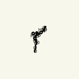 COCCOCCCOC(=O)c1cc2cc(NC(=O)[C@H]3[C@H](C4CCCCC4)CCN3C(=O)C3CCC([C@@H](CF)NC(=O)OC(C)(C)C)CC3)ccc2o1